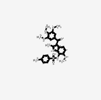 COc1cc(C(=O)c2c(C)sc3c(OS(=O)(=O)c4ccc(C)cc4)c(OC)ccc23)cc(OC)c1OC